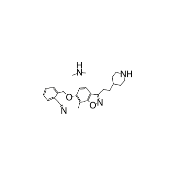 CNC.Cc1c(OCc2ccccc2C#N)ccc2c(CCC3CCNCC3)noc12